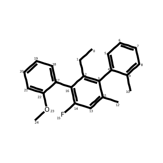 CCc1c(-c2ccccc2C)c(C)cc(F)c1-c1ccccc1OC